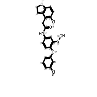 O=C(Cc1c(Cl)ccc2c1CCO2)Nc1ccc(Oc2cccc(Cl)c2)c(SO)c1